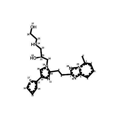 Cc1cccc2nc(CCc3nc(-c4cccs4)cn3C[C@@H](O)CNCCO)nn12